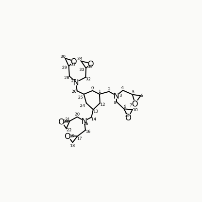 C1C(CN(CC2CO2)CC2CO2)CC(CN(CC2CO2)CC2CO2)CC1CN(CC1CO1)CC1CO1